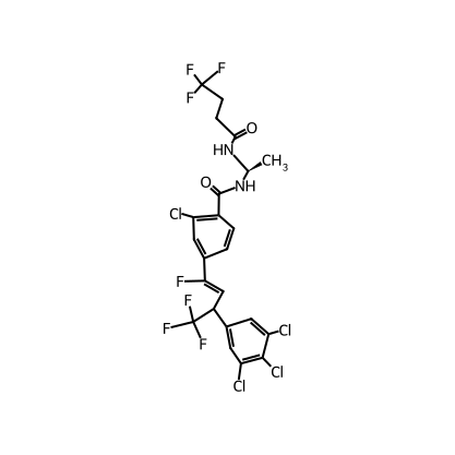 C[C@H](NC(=O)CCC(F)(F)F)NC(=O)c1ccc(/C(F)=C/C(c2cc(Cl)c(Cl)c(Cl)c2)C(F)(F)F)cc1Cl